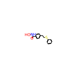 O=C(NO)c1ccc(CCSc2ccccc2)cc1